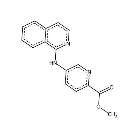 COC(=O)c1ccc(Nc2nccc3ccccc23)cn1